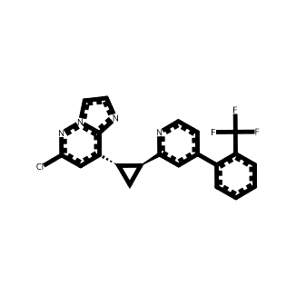 FC(F)(F)c1ccccc1-c1ccnc([C@H]2C[C@@H]2c2cc(Cl)nn3ccnc23)c1